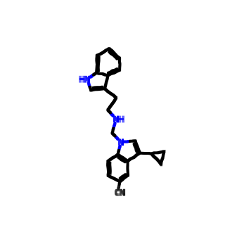 N#Cc1ccc2c(c1)c(C1CC1)cn2CNCCc1c[nH]c2ccccc12